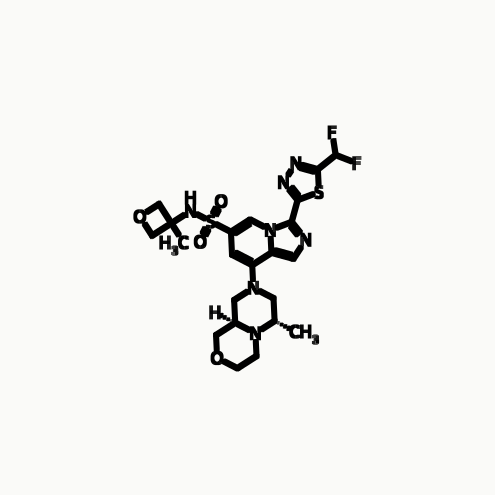 C[C@H]1CN(c2cc(S(=O)(=O)NC3(C)COC3)cn3c(-c4nnc(C(F)F)s4)ncc23)C[C@@H]2COCCN21